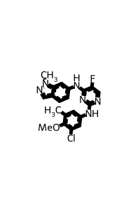 COc1c(C)cc(Nc2ncc(F)c(Nc3ccc4cnn(C)c4c3)n2)cc1Cl